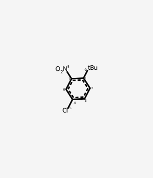 CC(C)(C)c1ccc(Cl)cc1[N+](=O)[O-]